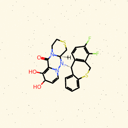 O=C1C2=C(O)C(O)C=CN2N([C@H]2c3ccccc3SCc3c2ccc(F)c3F)[C@@H]2CSCCN12